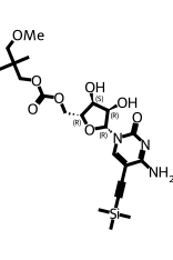 COCC(C)(C)COC(=O)OC[C@H]1O[C@@H](n2cc(C#C[Si](C)(C)C)c(N)nc2=O)[C@H](O)[C@@H]1O